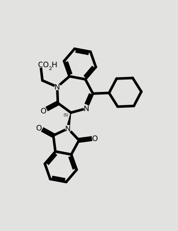 O=C(O)CN1C(=O)[C@H](N2C(=O)c3ccccc3C2=O)N=C(C2CCCCC2)c2ccccc21